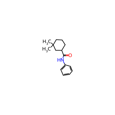 CC1(C)CCCC(C(=O)Nc2ccccc2)C1